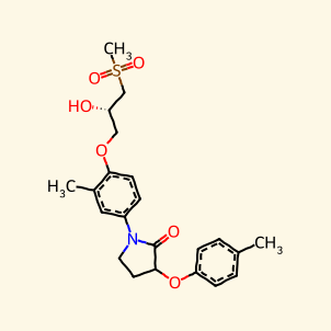 Cc1ccc(OC2CCN(c3ccc(OC[C@H](O)CS(C)(=O)=O)c(C)c3)C2=O)cc1